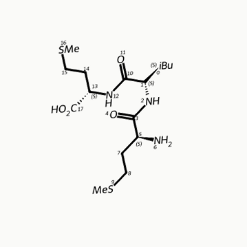 CC[C@H](C)[C@H](NC(=O)[C@@H](N)CCSC)C(=O)N[C@@H](CCSC)C(=O)O